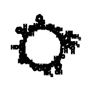 CCCC[C@H]1C(=O)N(C)[C@@H](CCCC)C(=O)N[C@@H](CCCNC(=N)N)C(=O)NC(C(=O)N[C@@H](CO)C(N)=O)CSCC(=O)N[C@@H](Cc2ccc(O)cc2)C(=O)N(C)[C@@H](C)C(=O)N[C@@H](CC(N)=O)C(=O)N2CCC[C@H]2C(=O)N[C@@H](Cc2cnc[nH]2)C(=O)N[C@@H](CO)C(=O)N2C[C@H](O)C[C@H]2C(=O)N[C@@H](Cc2c[nH]c3ccccc23)C(=O)N[C@@H](CO)C(=O)N[C@@H](Cc2csc3ccccc23)C(=O)N1C